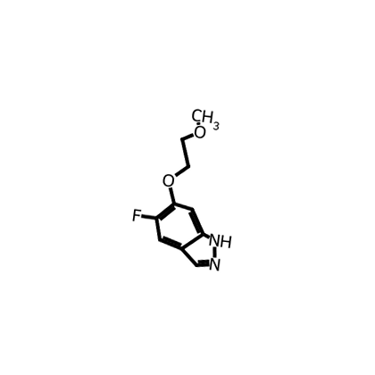 COCCOc1cc2[nH]ncc2cc1F